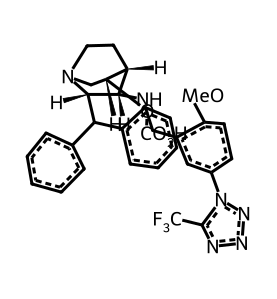 COc1ccc(-n2nnnc2C(F)(F)F)cc1CN[C@H]1[C@H]2CCN(C[C@H]2OC(=O)O)[C@H]1C(c1ccccc1)c1ccccc1